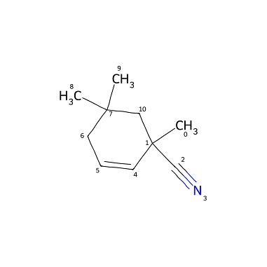 CC1(C#N)C=CCC(C)(C)C1